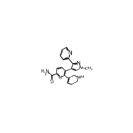 Cn1cc(-c2ccc(C(N)=O)nc2C2=CCCNC2)c(-c2ccccn2)n1